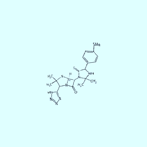 CSc1ccc(C2NC(C)(C)N(C3C(=O)N4C(c5nnn[nH]5)C(C)(C)S[C@@H]34)C2=O)cc1